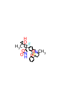 C[C@H]1CC[C@H](c2ccccc2)S(=O)(=O)N1Cc1cc(F)c([C@]2(c3c[nH]c(=O)o3)C[C@@](O)(C3(C)CC3)C2)cc1F